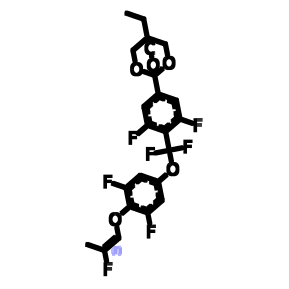 CCC12COC(c3cc(F)c(C(F)(F)Oc4cc(F)c(O/C=C(\C)F)c(F)c4)c(F)c3)(OC1)OC2